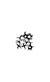 Cc1c(C[C@H](C)NC(=O)OC(C)(C)C)sc2c(N(Cc3cccs3)C(=O)OC(C)(C)C)nnnc12